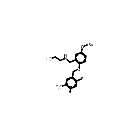 CC(C)(C)Oc1ccc(OCc2cc(C(F)(F)F)c(F)cc2F)c(CNCCO)c1